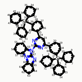 c1ccc([Si](c2ccccc2)(c2ccccc2)c2cccc(-c3cc(-c4cccc([Si](c5ccccc5)(c5ccccc5)c5ccccc5)c4)nc(-n4c5ccccc5n5c6ccccc6nc45)n3)c2)cc1